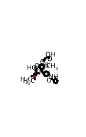 CCCCC1(CCCC)CN(c2ccc(NC(=O)C3CCCC3)cc2)c2cc(SC)c(O/C=C/C(=O)O)cc2S(O)(O)C1